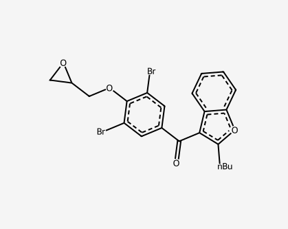 CCCCc1oc2ccccc2c1C(=O)c1cc(Br)c(OCC2CO2)c(Br)c1